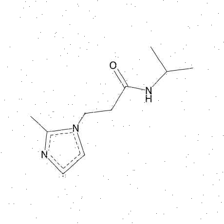 Cc1n[c]cn1CCC(=O)NC(C)C